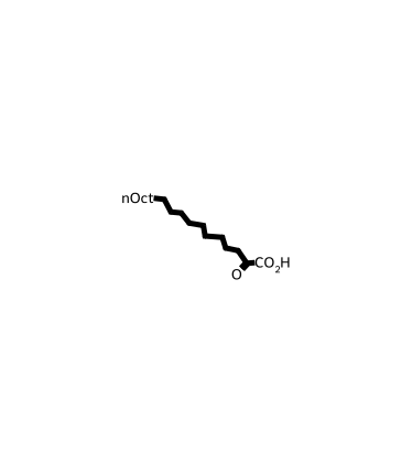 CCCCCCCCCCCCCCCCCC(=O)C(=O)O